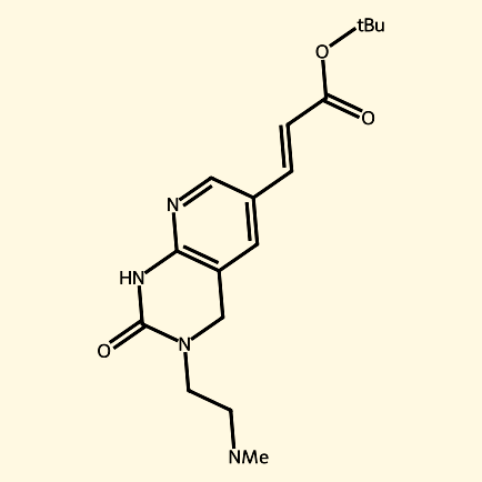 CNCCN1Cc2cc(/C=C/C(=O)OC(C)(C)C)cnc2NC1=O